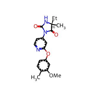 CC[C@]1(C)NC(=O)N(c2ccnc(Oc3ccc(C)c(OC)c3)c2)C1=O